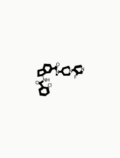 CN(C(=O)c1ccc2c(c1)[C@H](NC(=O)c1ccccc1Cl)CC2)C1CCN(c2ccncc2F)CC1